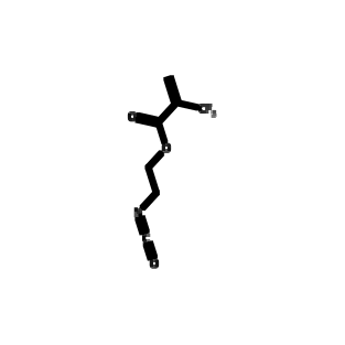 C=C(C(=O)OCCN=C=O)C(F)(F)F